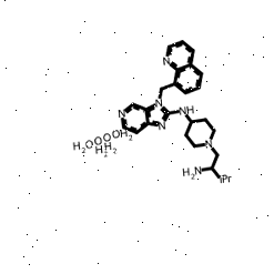 CC(C)C(N)CN1CCC(Nc2nc3ccncc3n2Cc2cccc3cccnc23)CC1.O.O.O.O